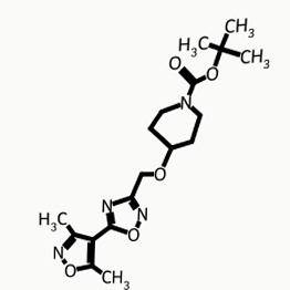 Cc1noc(C)c1-c1nc(COC2CCN(C(=O)OC(C)(C)C)CC2)no1